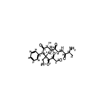 CC(=O)[C@](CC(C)C)(C(=O)C(=O)CCl)N(C(=O)[C@H](C)NC(=O)CNC(=O)[C@H](C)N)c1ccccc1